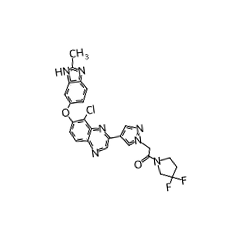 Cc1nc2ccc(Oc3ccc4ncc(-c5cnn(CC(=O)N6CCC(F)(F)C6)c5)nc4c3Cl)cc2[nH]1